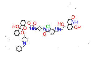 O=C(COc1cccc([C@](O)(C(=O)OCC2CCN(Cc3ccccc3)CC2)c2ccccc2)c1)NC1CC(NC(=O)c2ccc(CNC[C@H](O)c3ccc(O)c4[nH]c(=O)ccc34)cc2Cl)C1